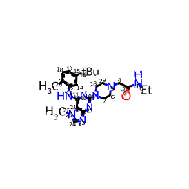 CCNC(=O)CN1CCN(c2nc(Nc3cc(C(C)(C)C)ccc3C)c3c(ncn3C)n2)CC1